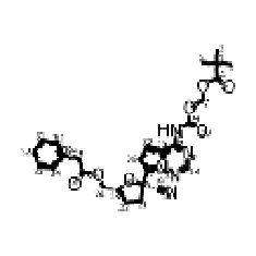 CC(C)(C)C(=O)OCOC(=O)Nc1ncnn2c([C@@]3(C#N)CC[C@@H](COC(=O)Cc4ccccc4)O3)ccc12